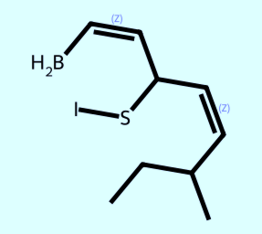 B/C=C\C(/C=C\C(C)CC)SI